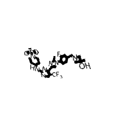 Cc1nc(-c2nc(NC3CCN(S(C)(=O)=O)CC3)ncc2C(F)(F)F)cn1-c1ccc(CN2CC(C)(O)C2)cc1F